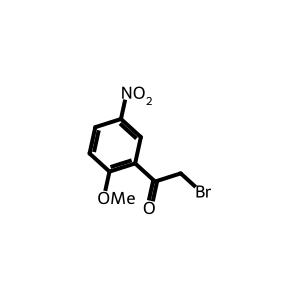 COc1ccc([N+](=O)[O-])cc1C(=O)CBr